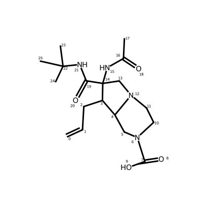 C=CCC1C2CN(C(=O)O)CCN2CC1(NC(C)=O)C(=O)NC(C)(C)C